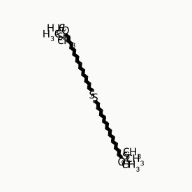 COC(CCCCCCCCCCCCCCCCCSSCCCCCCCCCCCCCCCCCC(OC)[SiH](C)C)[SiH](C)C